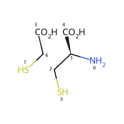 N[C@@H](CS)C(=O)O.O=C(O)CS